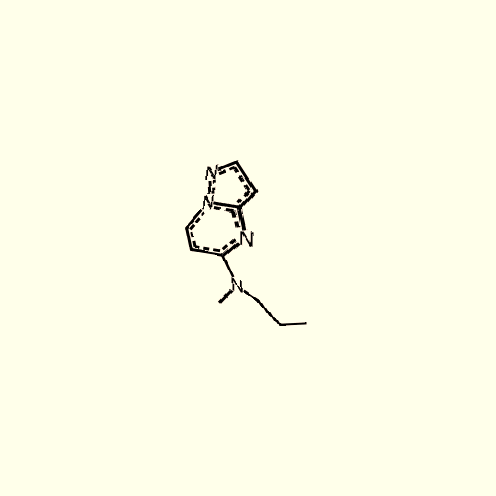 CCCN(C)c1ccn2nccc2n1